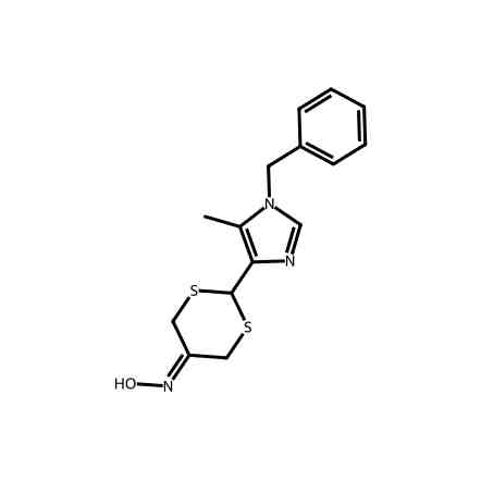 Cc1c(C2SCC(=NO)CS2)ncn1Cc1ccccc1